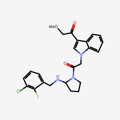 COCC(=O)c1cn(CC(=O)N2CCCC2NCc2cccc(Cl)c2F)c2ccccc12